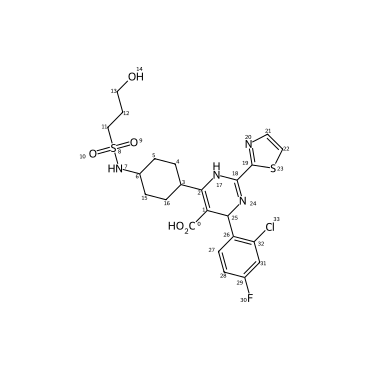 O=C(O)C1=C(C2CCC(NS(=O)(=O)CCCO)CC2)NC(c2nccs2)=NC1c1ccc(F)cc1Cl